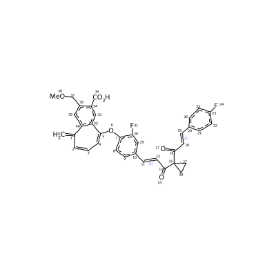 C=C1C=CC=C(Oc2ccc(/C=C/C(=O)C3(C(=O)/C=C/c4ccc(F)cc4)CC3)cc2F)c2cc(C(=O)O)c(COC)cc21